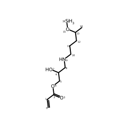 C=CC(=O)OCC(O)CNCCCC(C)O[SiH3]